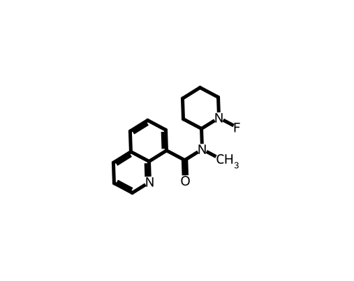 CN(C(=O)c1cccc2cccnc12)C1CCCCN1F